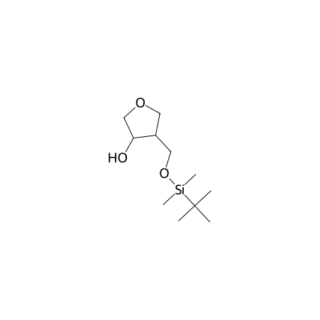 CC(C)(C)[Si](C)(C)OCC1COCC1O